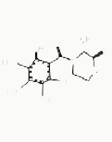 Cc1c(C)c(C)c(C(=O)N2CCNC(=O)[C@H]2C)c(C)c1C